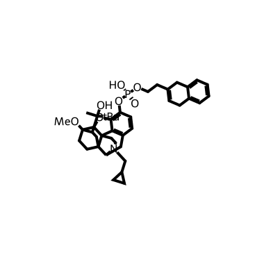 COC12CCC3(CC1C(C)(O)C(C)(C)C)C1Cc4ccc(OP(=O)(O)OCCC5=CCc6ccccc6C5)c5c4C3(CCN1CC1CC1)C2O5